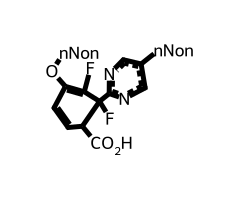 CCCCCCCCCOC1=C(F)C(F)(c2ncc(CCCCCCCCC)cn2)C(C(=O)O)C=C1